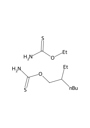 CCCCC(CC)COC(N)=S.CCOC(N)=S